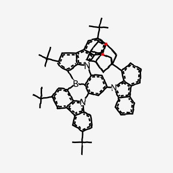 CC(C)(C)c1ccc2c(c1)c1cc(C(C)(C)C)cc3c1n2-c1cc(-n2c4ccccc4c4cccc(C56CC7CC8CC(C5)C87C6)c42)cc2c1B3c1cc(C(C)(C)C)cc3c4cc(C(C)(C)C)ccc4n-2c13